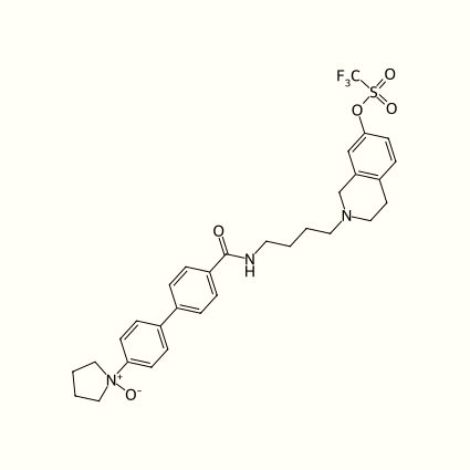 O=C(NCCCCN1CCc2ccc(OS(=O)(=O)C(F)(F)F)cc2C1)c1ccc(-c2ccc([N+]3([O-])CCCC3)cc2)cc1